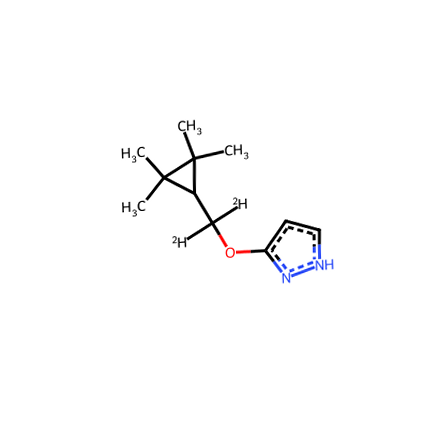 [2H]C([2H])(Oc1cc[nH]n1)C1C(C)(C)C1(C)C